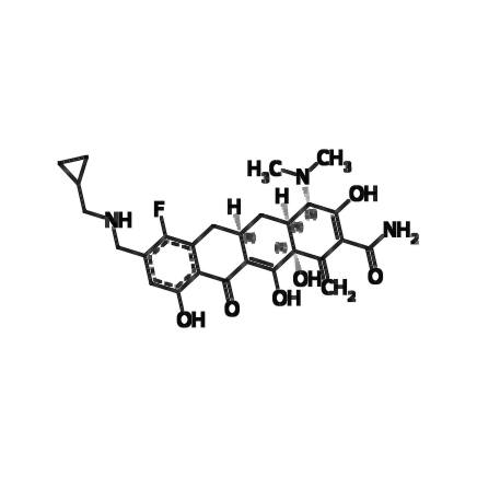 C=C1C(C(N)=O)=C(O)[C@@H](N(C)C)[C@@H]2C[C@@H]3Cc4c(F)c(CNCC5CC5)cc(O)c4C(=O)C3=C(O)[C@]12O